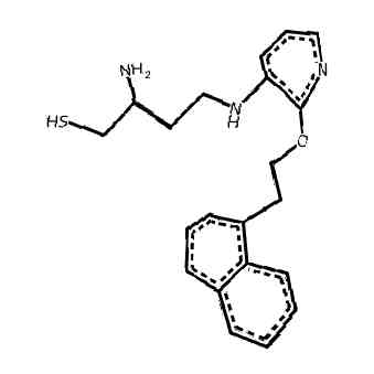 NC(CS)CCNc1cccnc1OCCc1cccc2ccccc12